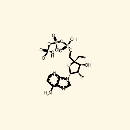 Nc1ccnc2c1ncn2[C@@H]1O[C@](CF)(COP(=O)(O)OP(=O)(O)OP(=O)(O)O)[C@@H](O)[C@H]1F